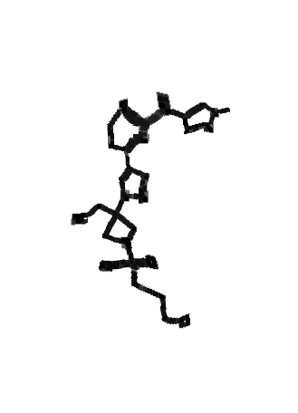 Cn1cc(Nc2nccc(-c3cnn(C4(CC#N)CN(S(=O)(=O)CCCCl)C4)c3)n2)cn1